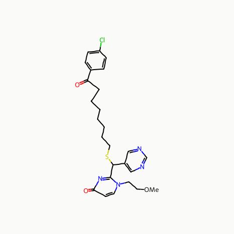 COCCn1ccc(=O)nc1C(SCCCCCCCC(=O)c1ccc(Cl)cc1)c1cncnc1